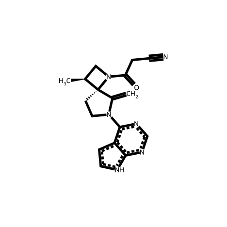 C=C1N(c2ncnc3[nH]ccc23)CC[C@@]12[C@@H](C)CN2C(=O)CC#N